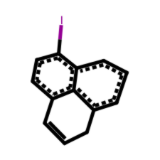 Ic1ccc2c3c(cccc13)CC=C2